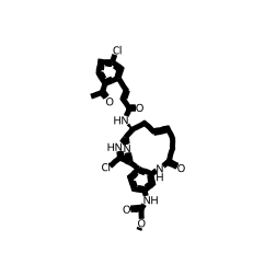 COC(=O)Nc1ccc2c(c1)NC(=O)CC/C=C/C[C@H](NC(=O)/C=C/c1cc(Cl)ccc1C(C)=O)c1nc-2c(Cl)[nH]1